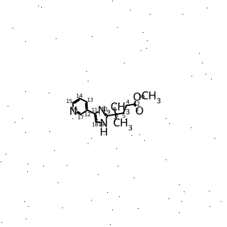 COC(=O)CCC(C)(C)c1nc(-c2cccnc2)c[nH]1